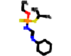 CCOP(=S)(NC=NC1CCCCC1)SC(C)C